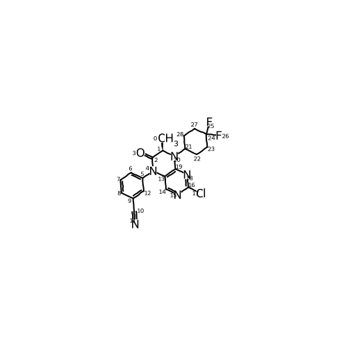 C[C@@H]1C(=O)N(c2cccc(C#N)c2)c2cnc(Cl)nc2N1C1CCC(F)(F)CC1